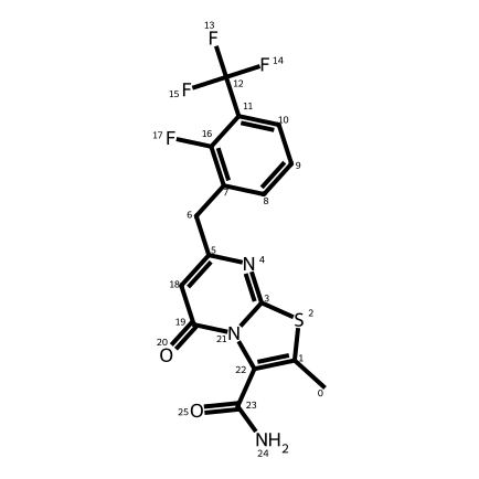 Cc1sc2nc(Cc3cccc(C(F)(F)F)c3F)cc(=O)n2c1C(N)=O